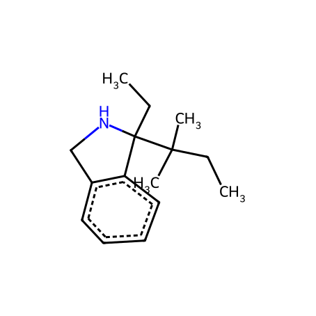 CCC(C)(C)C1(CC)NCc2ccccc21